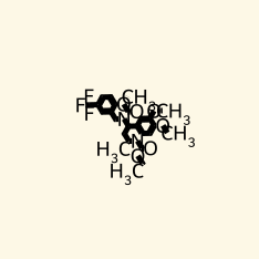 CCOC(=O)N1c2cc(OC)c(OC)cc2C(N(Cc2cccc(C(F)(F)F)c2)C(=O)OC)CC1C